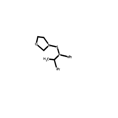 CCCP(SN1CCOC1)C(C)C(C)C